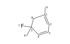 CC1=CC=CC(C)(F)C1